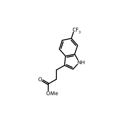 COC(=O)CCc1c[nH]c2cc(C(F)(F)F)ccc12